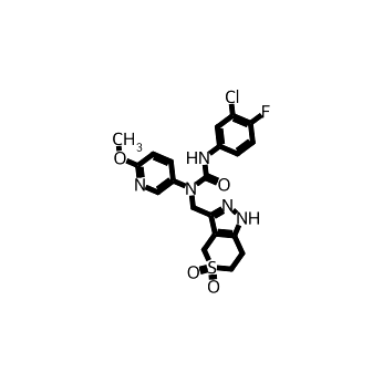 COc1ccc(N(Cc2n[nH]c3c2CS(=O)(=O)CC3)C(=O)Nc2ccc(F)c(Cl)c2)cn1